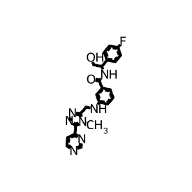 Cn1c(CNc2cccc(C(=O)NC(CO)c3ccc(F)cc3)c2)nnc1-c1ccncn1